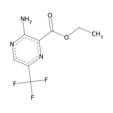 CCOC(=O)c1nc(C(F)(F)F)cnc1N